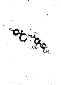 COc1cc(C(=O)/C=C/N2CCCCC(F)(c3ccc(F)cc3)C2)ccc1-n1cnc(C)c1